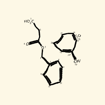 O.O=C(O)CC(=O)OCc1ccccc1.Oc1ccccc1